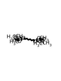 CN(C)C(=O)C1(C)OCC(OCCCCCCOC2COC(C)(C(=O)N(C)C)OC2)CO1